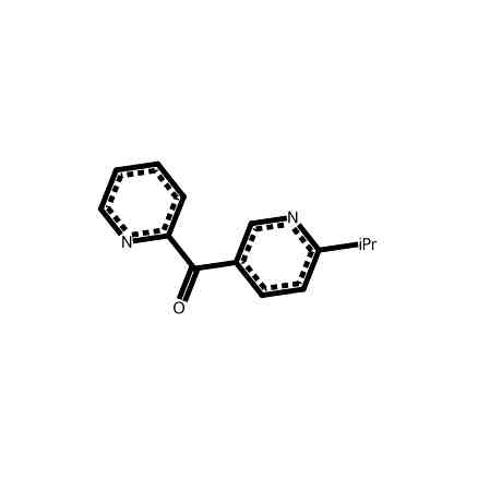 CC(C)c1ccc(C(=O)c2ccccn2)cn1